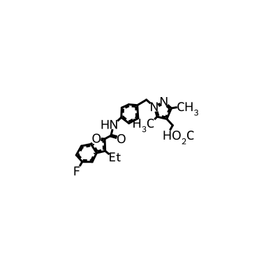 CCc1c(C(=O)Nc2ccc(Cn3nc(C)c(CC(=O)O)c3C)cc2)oc2ccc(F)cc12